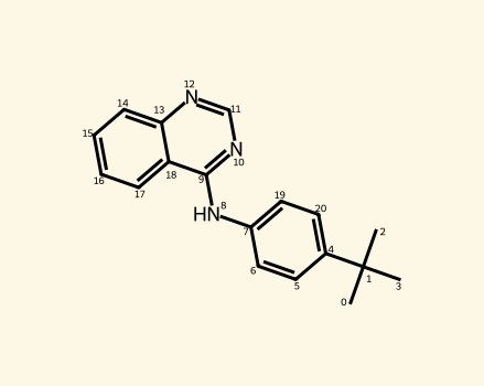 CC(C)(C)c1ccc(Nc2ncnc3ccccc23)cc1